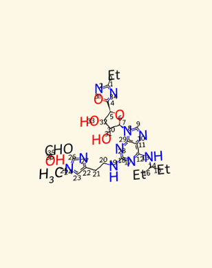 CCc1noc([C@H]2O[C@@H](n3cnc4c(NC(CC)CC)nc(NCCc5cn(C)cn5)nc43)[C@H](O)[C@@H]2O)n1.O=CO